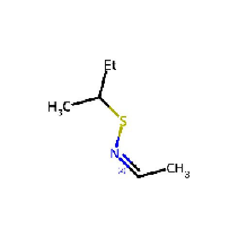 C/C=N\SC(C)CC